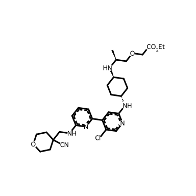 CCOC(=O)COC[C@H](C)N[C@H]1CC[C@H](Nc2cc(-c3cccc(NCC4(C#N)CCOCC4)n3)c(Cl)cn2)CC1